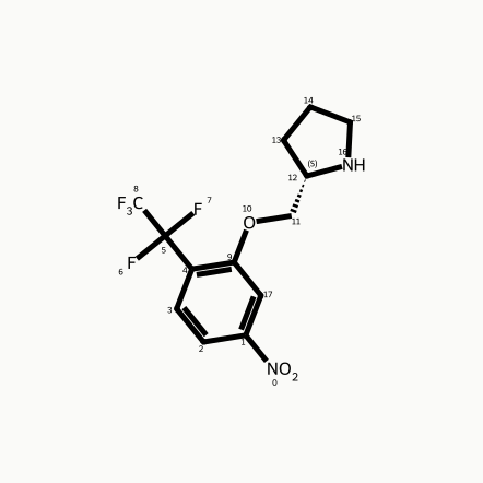 O=[N+]([O-])c1ccc(C(F)(F)C(F)(F)F)c(OC[C@@H]2CCCN2)c1